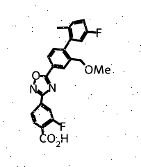 COCc1cc(-c2nc(-c3ccc(C(=O)O)c(F)c3)no2)ccc1-c1cc(F)ccc1C